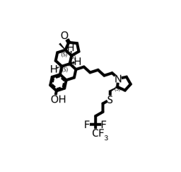 C[C@]12CC[C@@H]3c4ccc(O)cc4CC(CCCCCN4CCC[C@H]4CSCCCC(F)(F)C(F)(F)F)[C@H]3[C@@H]1CCC2=O